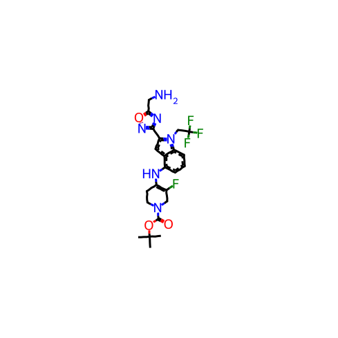 CC(C)(C)OC(=O)N1CCC(Nc2cccc3c2cc(-c2noc(CN)n2)n3CC(F)(F)F)=C(F)C1